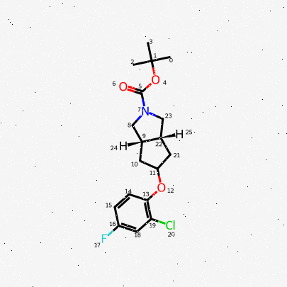 CC(C)(C)OC(=O)N1C[C@H]2CC(Oc3ccc(F)cc3Cl)C[C@H]2C1